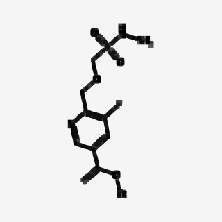 C=C(OCC)c1cnc(COCS(=O)(=O)NN)c(F)c1